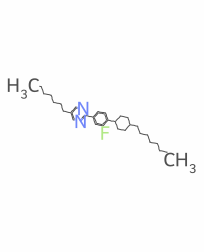 CCCCCCCCC1CCC(c2ccc(-c3ncc(CCCCCCC)cn3)cc2F)CC1